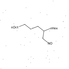 CCCCCCCCCCCC(CCCCCC)CN=O